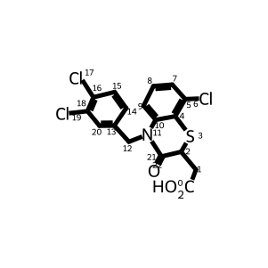 O=C(O)CC1Sc2c(Cl)cccc2N(Cc2ccc(Cl)c(Cl)c2)C1=O